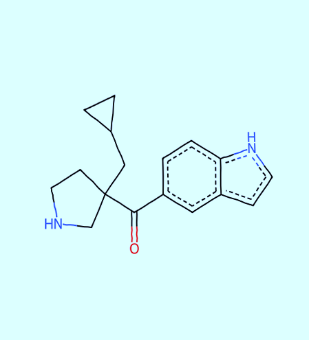 O=C(c1ccc2[nH]ccc2c1)C1(CC2CC2)CCNC1